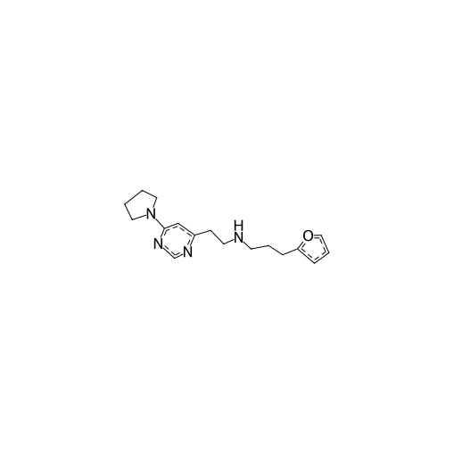 c1coc(CCCNCCc2cc(N3CCCC3)ncn2)c1